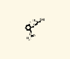 CC(=O)OCC1CCCC(=O)C1CSCC(O)CO